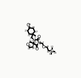 CC1(CN2C(=O)N(COCC[Si](C)(C)C)C(=O)[C@@]23CCOC3)CCC(=O)CC1